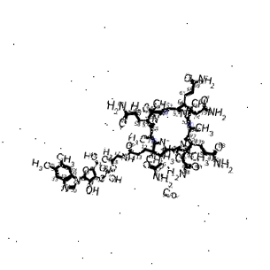 C/C1=C2/[N-][C@H]([C@H](CC(N)=O)[C@@]2(C)CCC(=O)NC[C@@H](C)OP(=O)(O)O[C@H]2[C@@H](O)[C@@H](n3cnc4cc(C)c(C)cc43)O[C@@H]2CO)[C@]2(C)N=C(/C(C)=C3N=C(/C=C4N=C1[C@@H](CCC(N)=O)C\4(C)C)[C@@H](CCC(N)=O)[C@]\3(C)CC(N)=O)[C@@H](CCC(N)=O)[C@]2(C)CC(N)=O.[Co]